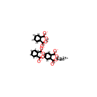 O=C([O-])c1ccccc1C(=O)[O-].O=C([O-])c1ccccc1C(=O)[O-].O=C([O-])c1ccccc1C(=O)[O-].[La+3].[La+3]